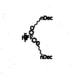 CCCCCCCCCCCCCCCCOc1ccc([I+]c2ccc(OCCCCCCCCCCCCCCCC)cc2)cc1.F[B-](F)(F)F